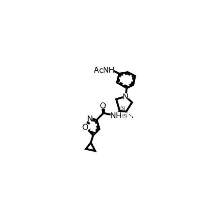 CC(=O)Nc1cccc(N2C[C@H](C)[C@H](NC(=O)c3cc(C4CC4)on3)C2)c1